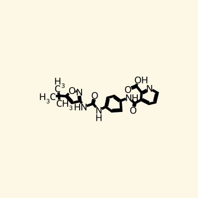 CC(C)(C)c1cc(NC(=O)Nc2ccc(NC(=O)c3cccnc3C(=O)O)cc2)no1